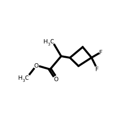 COC(=O)C(C)C1CC(F)(F)C1